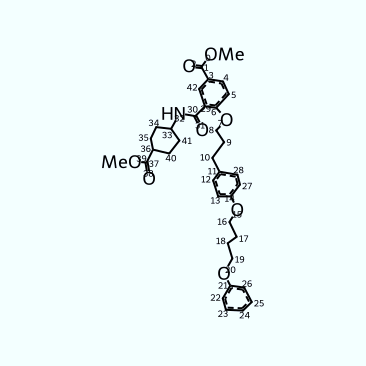 COC(=O)c1ccc(OCCCc2ccc(OCCCCOc3ccccc3)cc2)c(C(=O)NC2CCC(C(=O)OC)CC2)c1